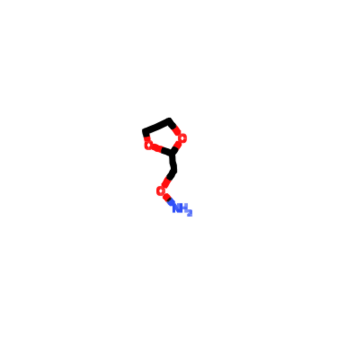 NOCC1OCCO1